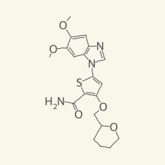 COc1cc2ncn(-c3cc(OCC4CCCCO4)c(C(N)=O)s3)c2cc1OC